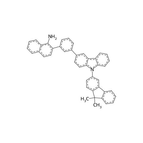 CC1(C)c2ccccc2-c2cc(-n3c4ccccc4c4cc(-c5cccc(-c6ccc7ccccc7c6N)c5)ccc43)ccc21